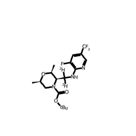 [2H]C([2H])(Nc1ncc(C(F)(F)F)cc1F)[C@@H]1[C@H](C)O[C@H](C)CN1C(=O)OC(C)(C)C